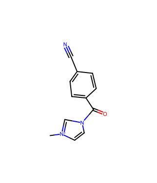 C[n+]1ccn(C(=O)c2ccc(C#N)cc2)c1